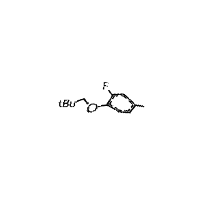 Cc1ccc(OCC(C)(C)C)c(F)c1